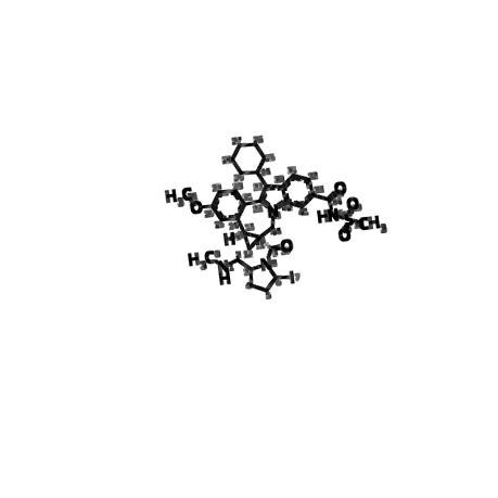 CNCC1CCC(I)N1C(=O)[C@]12C[C@H]1c1cc(OC)ccc1-c1c(C3CCCCC3)c3ccc(C(=O)NS(C)(=O)=O)cc3n1C2